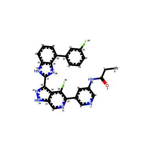 CC(C)CC(=O)Nc1cncc(-c2ncc3[nH]nc(-c4nc5c(-c6cccc(F)c6)cccc5[nH]4)c3c2F)c1